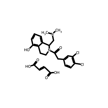 CN(C)CC1c2cccc(O)c2CCN1C(=O)Cc1ccc(Cl)c(Cl)c1.O=C(O)C=CC(=O)O